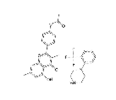 CC(=O)Oc1ccc(-c2oc3cc(C)cc(O)c3c(=O)c2C)cc1.FC(F)(F)c1ccccc1N1CCNCC1